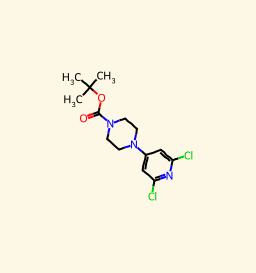 CC(C)(C)OC(=O)N1CCN(c2cc(Cl)nc(Cl)c2)CC1